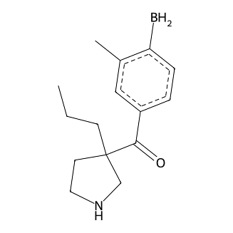 Bc1ccc(C(=O)C2(CCC)CCNC2)cc1C